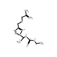 C=C(C)COCc1nnn(C(C)OC(=O)OCC)n1